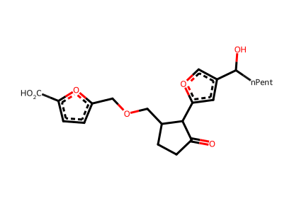 CCCCCC(O)c1coc(C2C(=O)CCC2COCc2ccc(C(=O)O)o2)c1